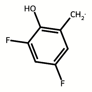 [CH2]c1cc(F)cc(F)c1O